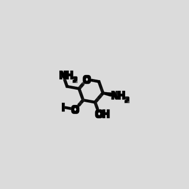 NCC1OC[C@@H](N)C(O)C1OI